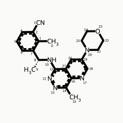 Cc1c(C#N)cccc1[C@@H](C)Nc1nnc(C)c2ncc(N3CCOCC3)cc12